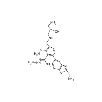 NCc1nc2cc(-c3ccc(SNCC(O)CN)c(SN)c3/C(N)=N/NN)ccc2s1